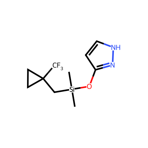 C[Si](C)(CC1(C(F)(F)F)CC1)Oc1cc[nH]n1